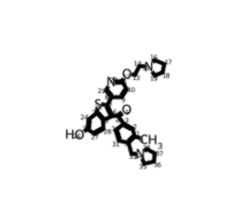 Cc1cc(C(=O)c2c(-c3ccc(OCCN4CCCC4)nc3)sc3cc(O)ccc23)ccc1CN1CCCC1